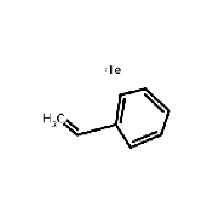 C=Cc1ccccc1.[Te]